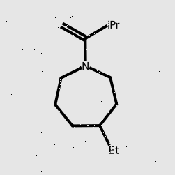 C=C(C(C)C)N1CCCC(CC)CC1